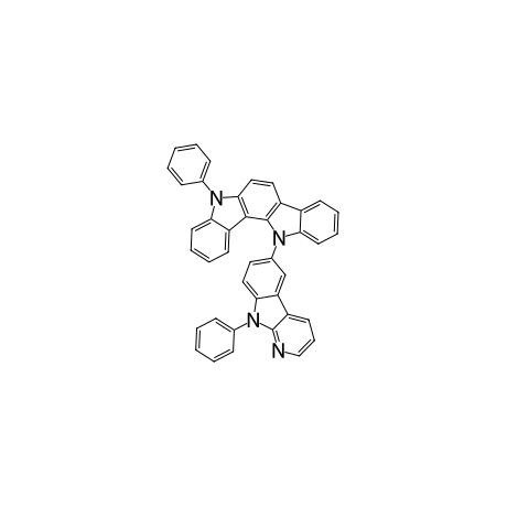 c1ccc(-n2c3ccccc3c3c2ccc2c4ccccc4n(-c4ccc5c(c4)c4cccnc4n5-c4ccccc4)c23)cc1